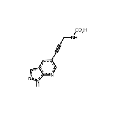 O=C(O)NCC#Cc1cnc2[nH]ncc2c1